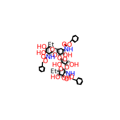 CC[C@H]1O[C@H](O[C@H]2[C@H](O[C@@H]3O[C@H](CO)[C@@H](O[C@H]4O[C@H](CC)[C@@H](O)[C@H](O)[C@H]4NC(=O)OCc4ccccc4)[C@H]3O)[C@@H](O)[C@H](NC(=O)OCc3ccccc3)C[C@@H]2C)[C@H](NC(=O)OCc2ccccc2)[C@@H](O)[C@@H]1O